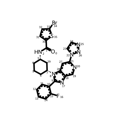 O=C(N[C@H]1CCC[C@@H](n2c(-c3ccccc3F)nc3cnc(-n4ccnn4)cc32)C1)c1ccc(Br)s1